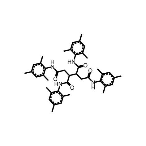 Cc1cc(C)c(NC(=O)CC(C(=O)Nc2c(C)cc(C)cc2C)C(CC(=O)Nc2c(C)cc(C)cc2C)C(=O)Nc2c(C)cc(C)cc2C)c(C)c1